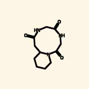 O=C1CNC(=O)CC2CCCCN2C(=O)CN1